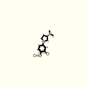 CN(C)[C@@H]1CCN(c2ccc(C=O)c(Cl)c2)C1